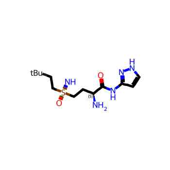 CC(C)(C)CCS(=N)(=O)CC[C@H](N)C(=O)Nc1cc[nH]n1